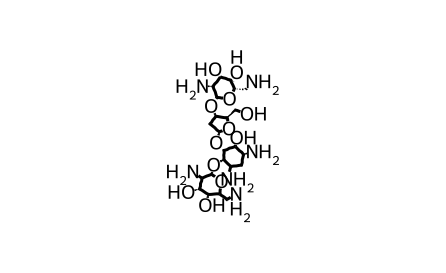 NCC1O[C@H](O[C@@H]2C(N)C[C@@H](N)C(O)[C@H]2O[C@H]2C[C@@H](OC3O[C@@H](CN)[C@H](O)C(O)[C@H]3N)[C@@H](CO)O2)C(N)[C@@H](O)[C@@H]1O